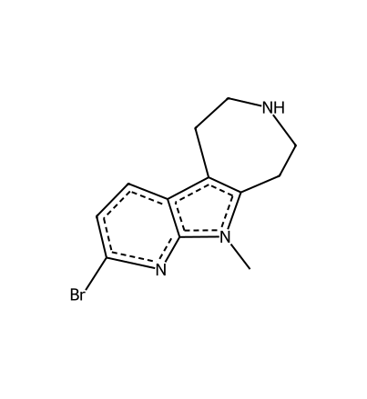 Cn1c2c(c3ccc(Br)nc31)CCNCC2